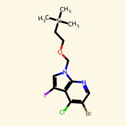 C[Si](C)(C)CCOCn1cc(I)c2c(Cl)c(Br)cnc21